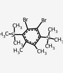 Cc1c(C)c([Si](C)(C)C)c(Br)c(Br)c1[Si](C)(C)C